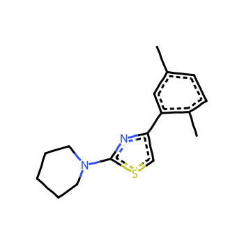 Cc1ccc(C)c(-c2csc(N3CCCCC3)n2)c1